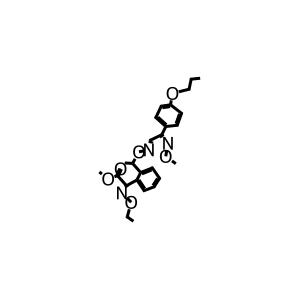 CCCOc1ccc(C(C=NOC(C)c2ccccc2C(=NOCC)C(=O)OC)=NOC)cc1